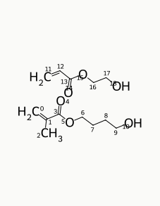 C=C(C)C(=O)OCCCCO.C=CC(=O)OCCO